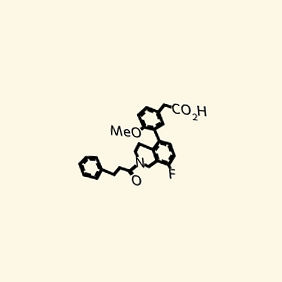 COc1ccc(CC(=O)O)cc1-c1ccc(F)c2c1CCN(C(=O)CCc1ccccc1)C2